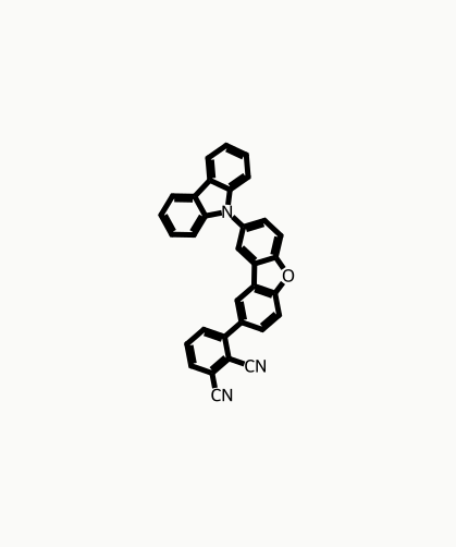 N#Cc1cccc(-c2ccc3oc4ccc(-n5c6ccccc6c6ccccc65)cc4c3c2)c1C#N